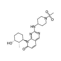 C[C@@H]1[C@H](O)CCC[C@H]1n1c(=O)ccc2cnc(NC3CCN(S(C)(=O)=O)CC3)nc21